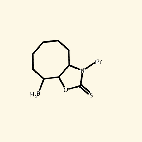 BC1CCCCCC2C1OC(=S)N2C(C)C